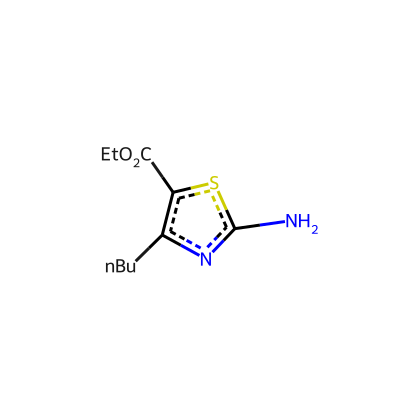 CCCCc1nc(N)sc1C(=O)OCC